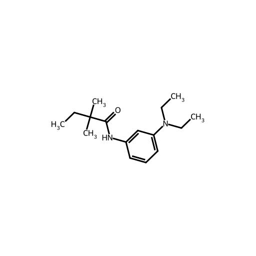 CCN(CC)c1cccc(NC(=O)C(C)(C)CC)c1